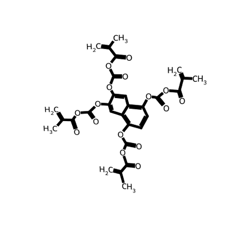 C=C(C)C(=O)OC(=O)Oc1cc2c(OC(=O)OC(=O)C(=C)C)ccc(OC(=O)OC(=O)C(=C)C)c2cc1OC(=O)OC(=O)C(=C)C